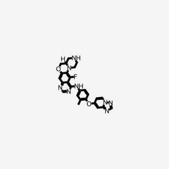 Cc1cc(Nc2ncnc3cc4c(c(F)c23)N2CCNC[C@H]2CO4)ccc1Oc1ccn2ncnc2c1